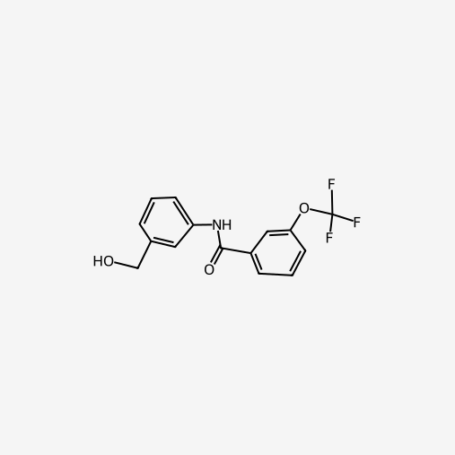 O=C(Nc1cccc(CO)c1)c1cccc(OC(F)(F)F)c1